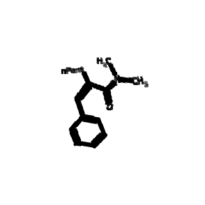 CCCCCC(=Cc1ccccc1)C(=O)N(C)C